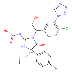 CC(C)(C)C[C@]1(c2ccc(Br)cc2)NC(=NC(=O)O)N(C(CO)c2ccc(Cl)c(-n3cncn3)c2)C1=O